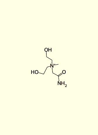 C[N+](CCO)(CCO)CC(N)=O